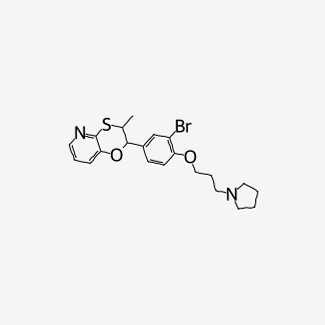 CC1Sc2ncccc2OC1c1ccc(OCCCN2CCCC2)c(Br)c1